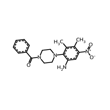 Cc1c([N+](=O)[O-])cc(N)c(N2CCN(C(=O)c3ccccc3)CC2)c1C